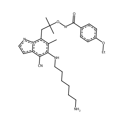 CCOc1ccc(C(=O)[N]OC(C)(C)Cc2c(C)c(NCCCCCCN)c(C#N)c3ccnn23)cc1